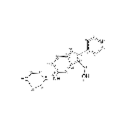 OCn1c(-c2ccncc2)cc2cnc(NC3CCOCC3)cc21